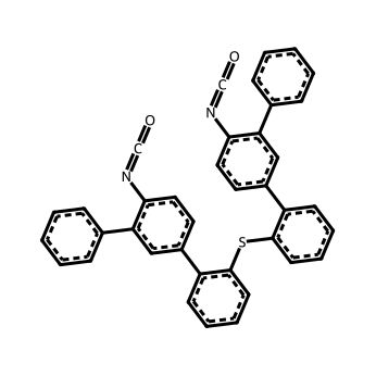 O=C=Nc1ccc(-c2ccccc2Sc2ccccc2-c2ccc(N=C=O)c(-c3ccccc3)c2)cc1-c1ccccc1